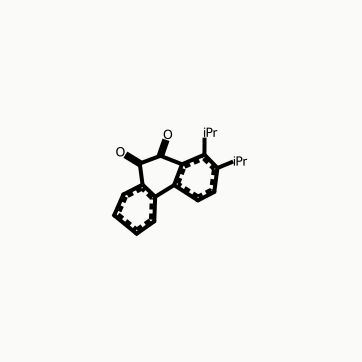 CC(C)c1ccc2c(c1C(C)C)C(=O)C(=O)c1ccccc1-2